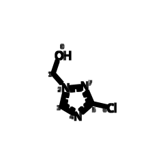 OCn1cnc(Cl)n1